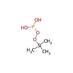 C[Si](C)(C)OOP(O)O